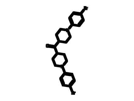 O=C(C1CCN(c2ccc(Br)cc2)CC1)C1CCN(c2ccc(Br)cc2)CC1